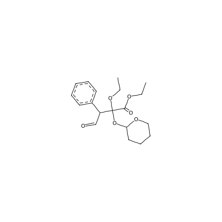 CCOC(=O)C(OCC)(OC1CCCCO1)C(C=O)c1ccccc1